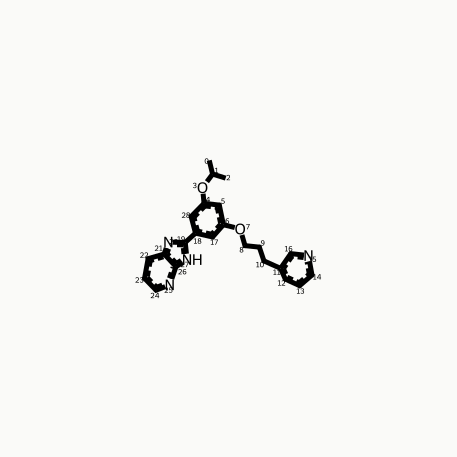 CC(C)Oc1cc(OCCCc2cccnc2)cc(-c2nc3cccnc3[nH]2)c1